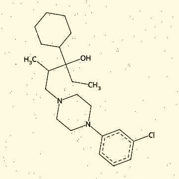 CCC(O)(C(C)CN1CCN(c2cccc(Cl)c2)CC1)C1CCCCC1